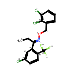 CC/C(=N\OCc1cccc(Cl)c1Cl)c1cc(Cl)ccc1C(F)(F)F